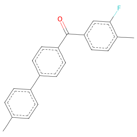 Cc1ccc(-c2ccc(C(=O)c3ccc(C)c(F)c3)cc2)cc1